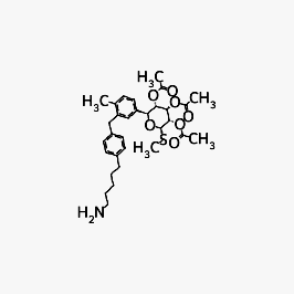 CS[C@H]1O[C@@H](c2ccc(C)c(Cc3ccc(CCCCCN)cc3)c2)[C@H](OC(C)=O)[C@@H](OC(C)=O)[C@@H]1OC(C)=O